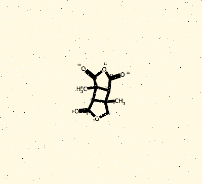 CC12COC(=O)C1C1(C)C(=O)OC(=O)C21